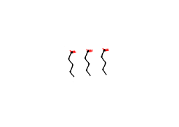 CCCCC(=O)[O-].CCCCC(=O)[O-].CCCCC(=O)[O-].[Y+3]